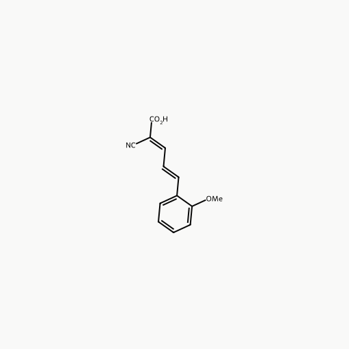 COc1ccccc1/C=C/C=C(\C#N)C(=O)O